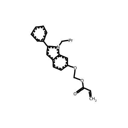 C=CC(=O)OCOc1ccc2cc(-c3ccccc3)n(CC(C)C)c2c1